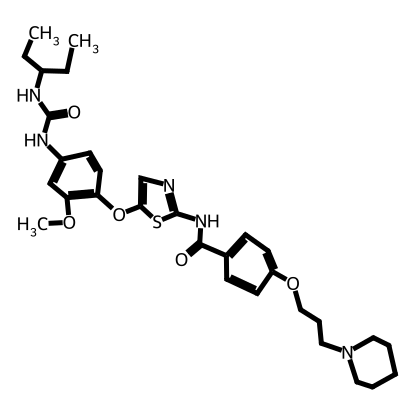 CCC(CC)NC(=O)Nc1ccc(Oc2cnc(NC(=O)c3ccc(OCCCN4CCCCC4)cc3)s2)c(OC)c1